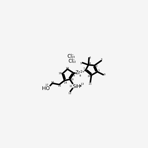 CC1=C(C)C(C)(C)[C]([Zr+2][C]2=C([SiH](C)C)C(CCO)=CC2)=C1C.[Cl-].[Cl-]